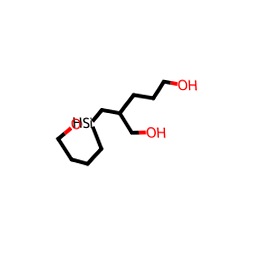 OCCCC(CO)C[SiH]1CCCCO1